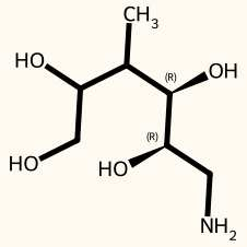 CC(C(O)CO)[C@@H](O)[C@H](O)CN